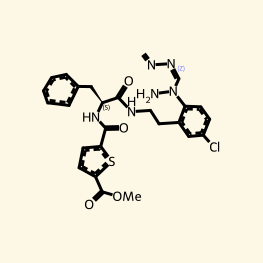 C=N/N=C\N(N)c1ccc(Cl)cc1CCNC(=O)[C@H](Cc1ccccc1)NC(=O)c1ccc(C(=O)OC)s1